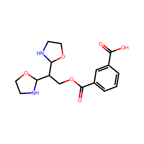 O=C(O)c1cccc(C(=O)OCC(C2NCCO2)C2NCCO2)c1